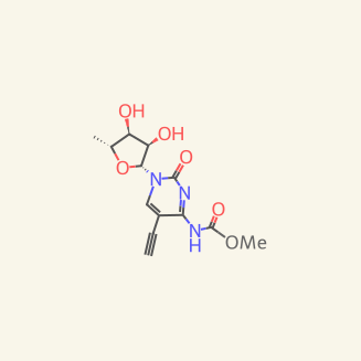 C#Cc1cn([C@@H]2O[C@H](C)[C@@H](O)[C@H]2O)c(=O)nc1NC(=O)OC